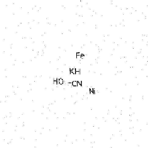 N#CO.[Fe].[KH].[Ni]